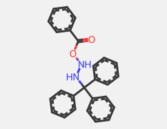 O=C(ONNC(c1ccccc1)(c1ccccc1)c1ccccc1)c1ccccc1